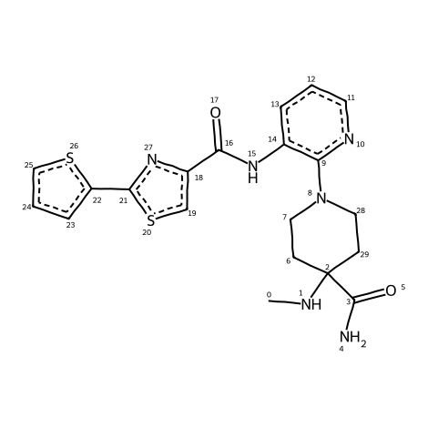 CNC1(C(N)=O)CCN(c2ncccc2NC(=O)c2csc(-c3cccs3)n2)CC1